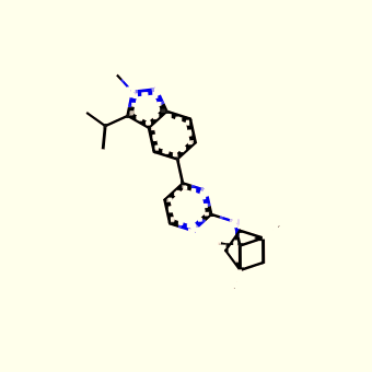 CC(C)c1c2cc(-c3ccnc(N[C@H]4[C@@H]5CC[C@H]4C5)n3)ccc2nn1C